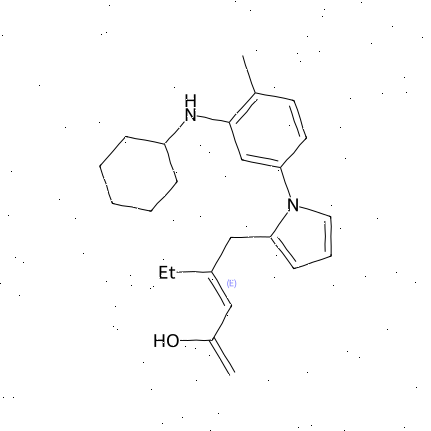 C=C(O)/C=C(\CC)Cc1cccn1-c1ccc(C)c(NC2CCCCC2)c1